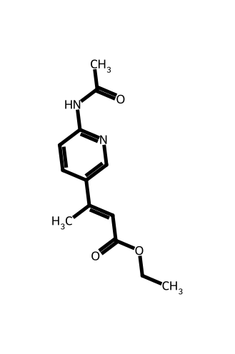 CCOC(=O)C=C(C)c1ccc(NC(C)=O)nc1